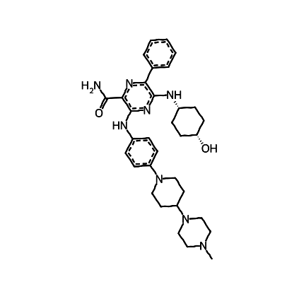 CN1CCN(C2CCN(c3ccc(Nc4nc(N[C@H]5CC[C@@H](O)CC5)c(-c5ccccc5)nc4C(N)=O)cc3)CC2)CC1